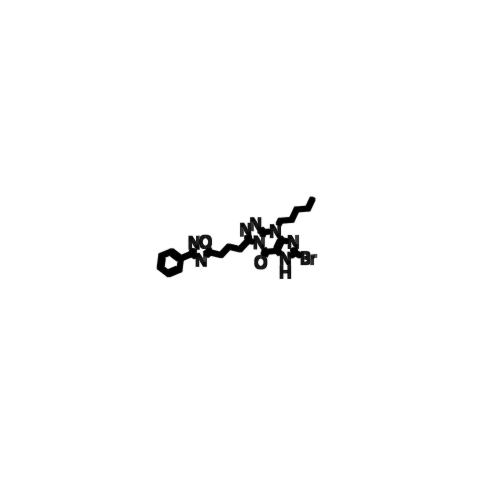 CCCCCn1c2nc(Br)[nH]c2c(=O)n2c(CCCc3nc(-c4ccccc4)no3)nnc12